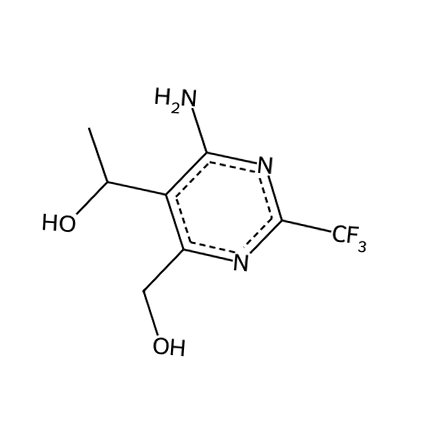 CC(O)c1c(N)nc(C(F)(F)F)nc1CO